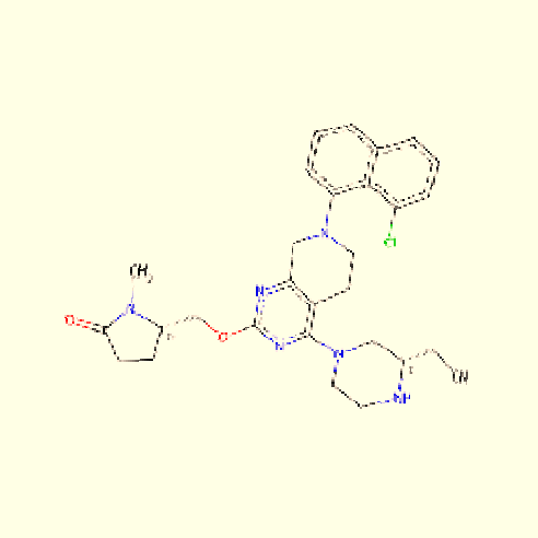 CN1C(=O)CC[C@H]1COc1nc2c(c(N3CCN[C@@H](CC#N)C3)n1)CCN(c1cccc3cccc(Cl)c13)C2